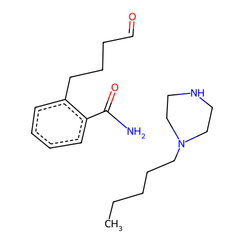 CCCCCN1CCNCC1.NC(=O)c1ccccc1CCCC=O